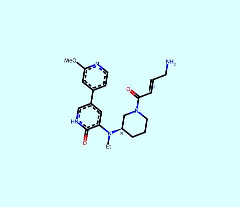 CCN(c1cc(-c2ccnc(OC)c2)c[nH]c1=O)[C@@H]1CCCN(C(=O)/C=C/CN)C1